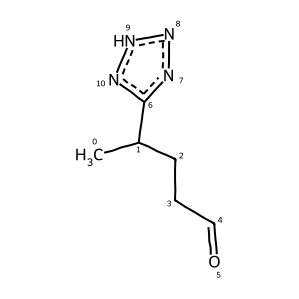 CC(CCC=O)c1nn[nH]n1